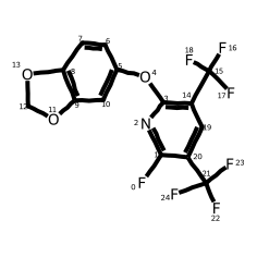 Fc1nc(Oc2ccc3c(c2)OCO3)c(C(F)(F)F)cc1C(F)(F)F